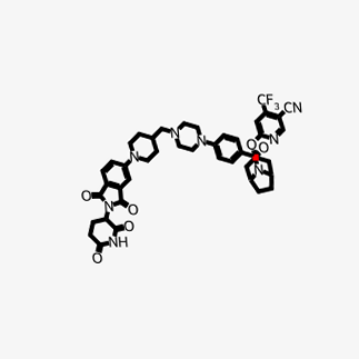 N#Cc1cnc(OC2CC3CCC(C2)N3C(=O)c2ccc(N3CCN(CC4CCN(c5ccc6c(c5)C(=O)N(C5CCC(=O)NC5=O)C6=O)CC4)CC3)cc2)cc1C(F)(F)F